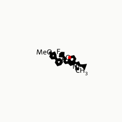 COc1ccc(-c2cccc(N(CC3CCC4(c5cc(C6CC6)n(C)n5)CCCC3C4)C(=O)C34CC(F)(C3)C4)c2)cc1